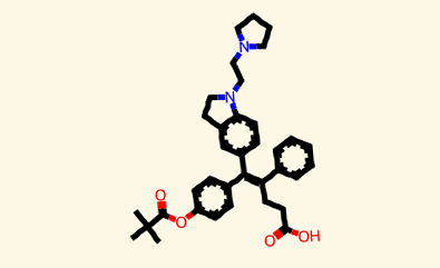 CC(C)(C)C(=O)Oc1ccc(/C(=C(\CCC(=O)O)c2ccccc2)c2ccc3c(c2)CCN3CCN2CCCC2)cc1